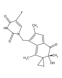 CC1=C(Cn2cc(F)c(=O)[nH]c2=O)C2=C(C)C3(CC3)[C@@](C)(O)C(=O)C2=C1